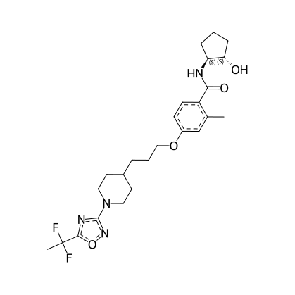 Cc1cc(OCCCC2CCN(c3noc(C(C)(F)F)n3)CC2)ccc1C(=O)N[C@H]1CCC[C@@H]1O